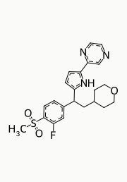 CS(=O)(=O)c1ccc(C(CC2CCOCC2)c2ccc(-c3cnccn3)[nH]2)cc1F